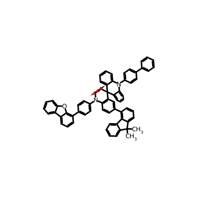 CC1(C)c2ccccc2-c2c(-c3ccc4c(c3)C3(c5ccccc5N(c5ccc(-c6ccccc6)cc5)c5ccccc53)c3ccccc3N4c3ccc(-c4cccc5c4oc4ccccc45)cc3)cccc21